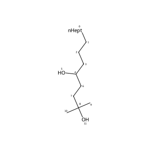 CCCCCCCCCCC(O)CCC(C)(C)O